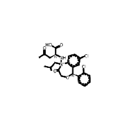 CC(=O)C[C@H](N[N+]1(CC(C)C)C(=O)CO[C@H](c2ccccc2Cl)c2cc(Cl)ccc21)C(=O)O